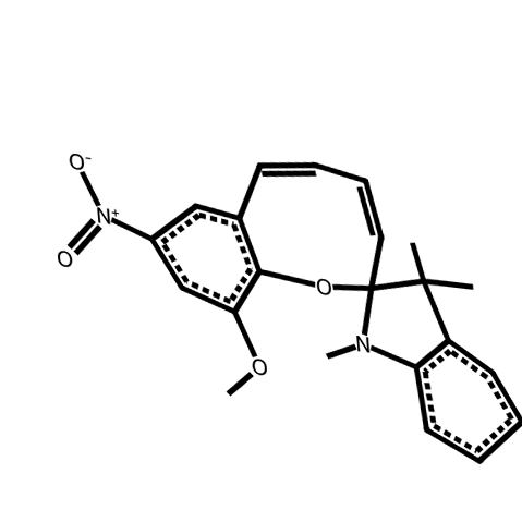 COc1cc([N+](=O)[O-])cc2c1OC1(/C=C\C=C/2)N(C)c2ccccc2C1(C)C